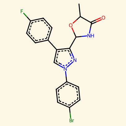 CC1OC(c2nn(-c3ccc(Br)cc3)cc2-c2ccc(F)cc2)NC1=O